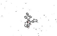 CC1(C)c2ccccc2-c2ccc(N(c3ccc4c(c3)-c3ccccc3N(c3ccccc3)c3ccccc3-4)c3ccc4c(c3)C3(c5ccccc5C=Cc5ccccc53)c3ccccc3-4)cc21